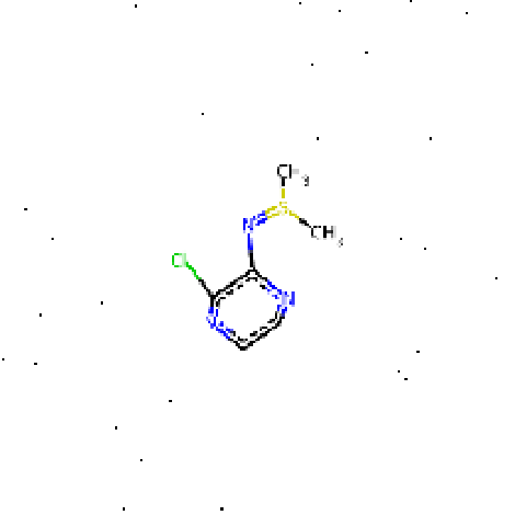 CS(C)=Nc1nccnc1Cl